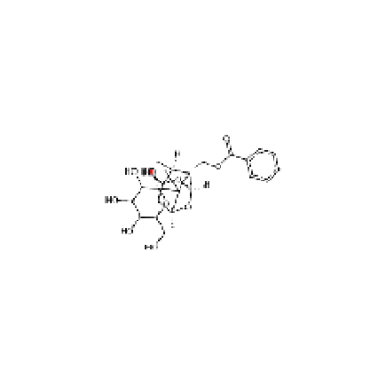 C[C@H]1[C@@]2(COC(=O)c3ccccc3)[C@@H]3O[C@]1(O)C[C@](C)(O3)C2(C)[C@@]1(O)OC(CO)C(O)C(O)C1O